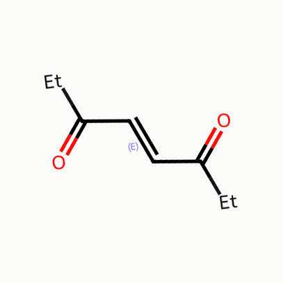 CCC(=O)/C=C/C(=O)CC